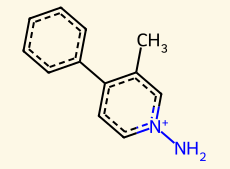 Cc1c[n+](N)ccc1-c1ccccc1